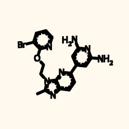 Cc1nc2ccc(-c3cc(N)nc(N)c3)nc2n1CCOc1ncccc1Br